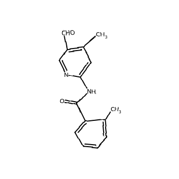 Cc1cc(NC(=O)c2ccccc2C)ncc1C=O